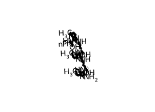 CCC[C@H](CO)Nc1nc(NCCCC[C@H](CO)Nc2nc(NCCCC[C@@H](CO)Nc3nc(N)nc4ccc(C)nc34)nc3ccc(C)nc23)nc2ccc(C)nc12